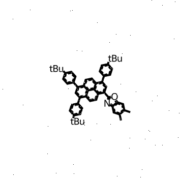 Cc1cc2nc(-c3cc(-c4ccc(C(C)(C)C)cc4)c4ccc5c(-c6ccc(C(C)(C)C)cc6)cc(-c6ccc(C(C)(C)C)cc6)c6ccc3c4c56)oc2cc1C